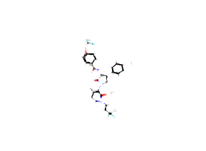 COc1ccc([C@@H]2CN(c3c(C)ccn(CCC(F)(F)F)c3=O)C(=O)[C@H]2NC(=O)c2ccc(OC(F)F)cc2)cc1